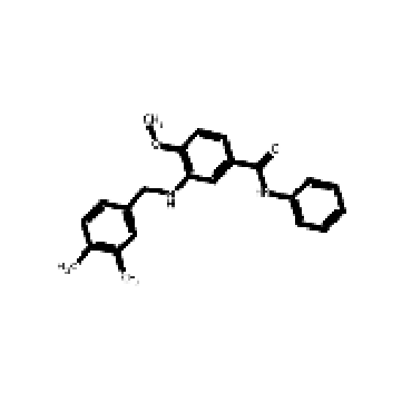 COc1ccc(C(=O)Nc2ccccc2)cc1NCc1ccc(C)c(C)c1